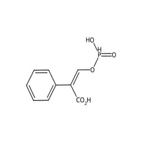 O=C(O)C(=CO[PH](=O)O)c1ccccc1